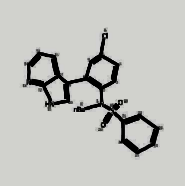 CCCCN(c1ccc(Cl)cc1-c1c[nH]c2ncccc12)S(=O)(=O)c1ccccc1